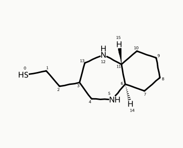 SCCC1CN[C@@H]2CCCC[C@H]2NC1